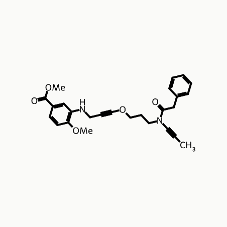 CC#CN(CCCOC#CCNc1cc(C(=O)OC)ccc1OC)C(=O)Cc1ccccc1